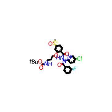 C[S+]([O-])c1ccc(C(=O)NN(C(=O)c2cccc(F)c2)c2ccc(Cl)cn2)c(OCCCNC(=O)OC(C)(C)C)c1